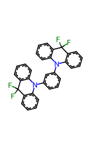 FC1(F)c2ccccc2N(c2cccc(N3c4ccccc4C(F)(F)c4ccccc43)c2)c2ccccc21